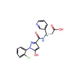 O=C(O)C[C@H](NC(=O)c1cc(O)n(-c2ccccc2F)n1)c1cccnc1